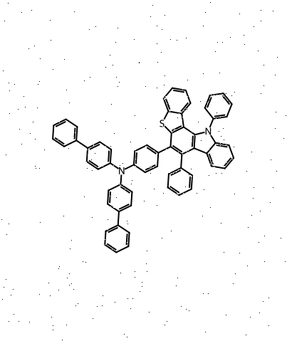 c1ccc(-c2ccc(N(c3ccc(-c4ccccc4)cc3)c3ccc(-c4c(-c5ccccc5)c5c6ccccc6n(-c6ccccc6)c5c5c4sc4ccccc45)cc3)cc2)cc1